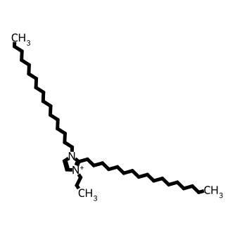 CCCCCCCCCCCCCCCCCc1n(CCCCCCCCCCCCCCCCC)cc[n+]1CCC